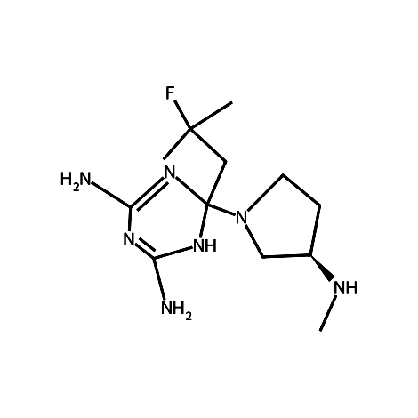 CN[C@@H]1CCN(C2(CC(C)(C)F)N=C(N)N=C(N)N2)C1